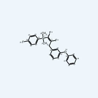 C[Si](C)(C(F)=C(F)Cc1cccc(Oc2ccccc2)c1)c1ccc(F)cc1